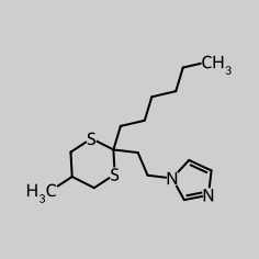 CCCCCCC1(CCn2ccnc2)SCC(C)CS1